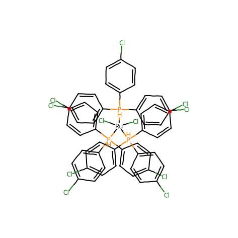 Clc1ccc([PH](c2ccc(Cl)cc2)(c2ccc(Cl)cc2)[Ru]([Cl])([Cl])([PH](c2ccc(Cl)cc2)(c2ccc(Cl)cc2)c2ccc(Cl)cc2)[PH](c2ccc(Cl)cc2)(c2ccc(Cl)cc2)c2ccc(Cl)cc2)cc1